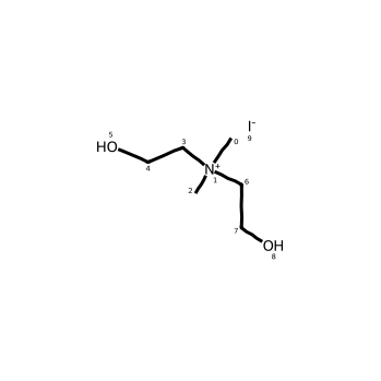 C[N+](C)(CCO)CCO.[I-]